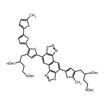 CCCCCCCCCCCCC(CCCCCCCCCC)Cc1cc(-c2cc3c(cc(-c4cc(CC(CCCCCCCCCC)CCCCCCCCCCCC)c(-c5ccc(-c6ccc(C)s6)s5)s4)c4snnc43)c3nnsc23)sc1C